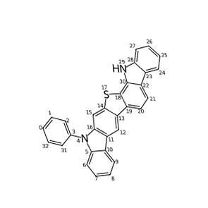 c1ccc(-n2c3ccccc3c3cc4c(cc32)sc2c4ccc3c4ccccc4[nH]c32)cc1